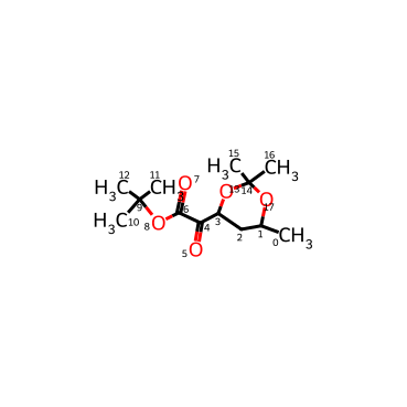 CC1CC(C(=O)C(=O)OC(C)(C)C)OC(C)(C)O1